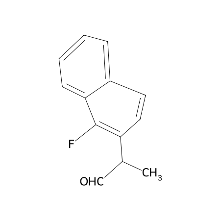 CC(C=O)c1ccc2ccccc2c1F